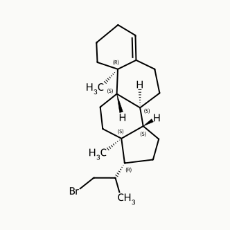 CC(CBr)[C@H]1CC[C@H]2[C@@H]3CCC4=CCCC[C@]4(C)[C@H]3CC[C@]12C